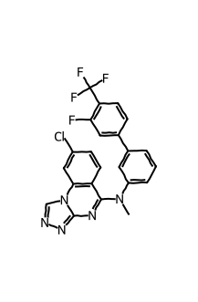 CN(c1cccc(-c2ccc(C(F)(F)F)c(F)c2)c1)c1nc2nncn2c2cc(Cl)ccc12